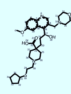 COc1ccc2ncc(CN3CCOCC3)c([C@@H](O)CCC3(C(=O)O)CCN(CCSC4CCCC4)CC3)c2c1